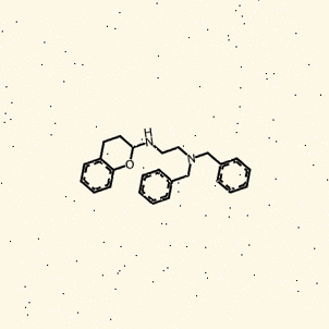 c1ccc(CN(CCNC2CCc3ccccc3O2)Cc2ccccc2)cc1